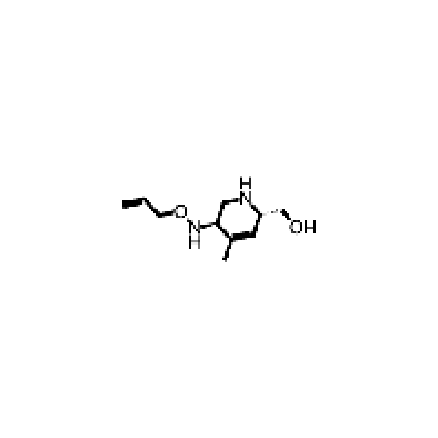 C=CCON[C@H]1CN[C@H](CO)C=C1C